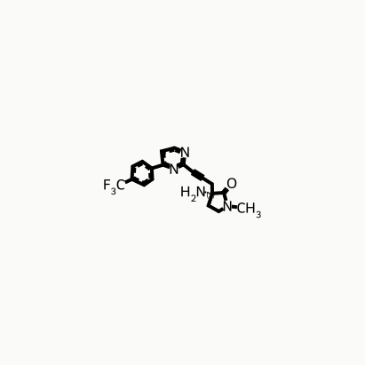 CN1CC[C@@](N)(CC#Cc2nccc(-c3ccc(C(F)(F)F)cc3)n2)C1=O